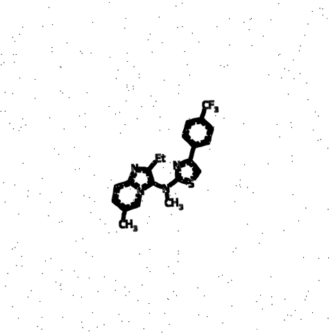 CCc1nc2ccc(C)cn2c1N(C)c1nc(-c2ccc(C(F)(F)F)cc2)cs1